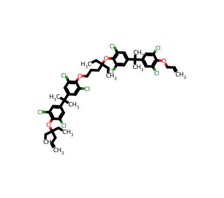 C=CCOc1c(Cl)cc(C(C)(C)c2cc(Cl)c(OC(CC)(CC)CCCOc3c(Cl)cc(C(C)(C)c4cc(Cl)c(OC(CC)(CC)CC=C)c(Cl)c4)cc3Cl)c(Cl)c2)cc1Cl